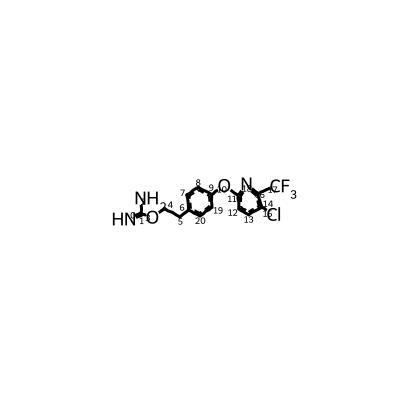 N=C(N)OCCc1ccc(Oc2ccc(Cl)c(C(F)(F)F)n2)cc1